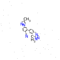 Cc1cnn(-c2ccc(C#N)c(-c3ccc(Cn4cnnc4C)cc3)c2)c1